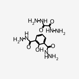 NNC(=O)C(=O)NN.NNC(=O)c1cccc(C(=O)NN)c1O